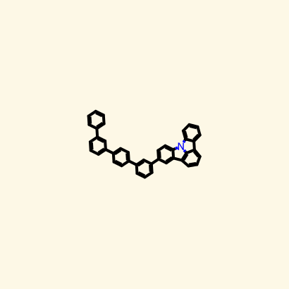 c1ccc(-c2cccc(-c3ccc(-c4cccc(-c5ccc6c(c5)c5cccc7c8ccccc8n6c75)c4)cc3)c2)cc1